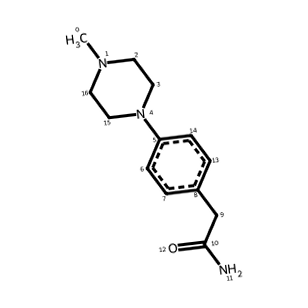 CN1CCN(c2ccc(CC(N)=O)cc2)CC1